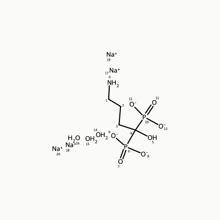 NCCCC(O)(P(=O)([O-])[O-])P(=O)([O-])[O-].O.O.O.[Na+].[Na+].[Na+].[Na+]